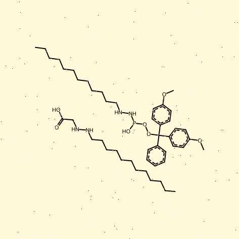 CCCCCCCCCCCCNNCC(=O)O.CCCCCCCCCCCCNNP(O)OOC(c1ccccc1)(c1ccc(OC)cc1)c1ccc(OC)cc1